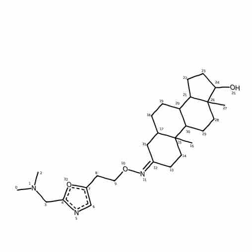 CN(C)Cc1ncc(CCON=C2CCC3(C)C(CCC4C5CCC(O)C5(C)CCC43)C2)o1